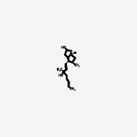 CCCCC[C@](C)(O)/C=C/[C@@H]1C2CC(O)O[C@H]2C[C@H]1C